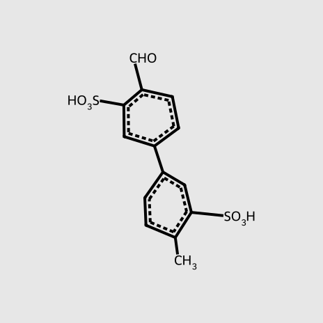 Cc1ccc(-c2ccc(C=O)c(S(=O)(=O)O)c2)cc1S(=O)(=O)O